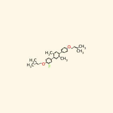 CC(C)=CCOc1ccc(-c2cc(C)c(-c3ccc(OCC=C(C)C)c(F)c3)cc2C)cc1